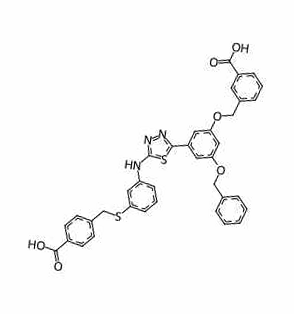 O=C(O)c1ccc(CSc2cccc(Nc3nnc(-c4cc(OCc5ccccc5)cc(OCc5cccc(C(=O)O)c5)c4)s3)c2)cc1